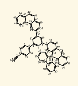 N#Cc1ccc(-c2cc(-c3ccc4c(c3)C(c3ccccc3)(c3ccccn3)c3ccccc3O4)cc(-c3ccc4ccc5cccnc5c4n3)c2)cc1